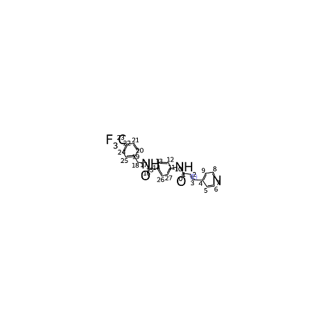 O=C(/C=C/c1ccncc1)Nc1ccc(C(=O)NCc2ccc(C(F)(F)F)cc2)cc1